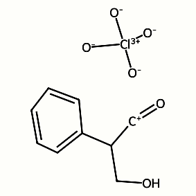 O=[C+]C(CO)c1ccccc1.[O-][Cl+3]([O-])([O-])[O-]